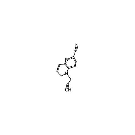 C#CCN1CC=Cc2nc(C#N)ccc21